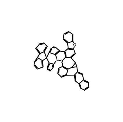 c1ccc2c(c1)-c1ccccc1C21c2ccccc2N2B3c4cccc5c4C4C(c6cc7ccccc7cc6-5)C4c4cc5oc6ccccc6c5c(c43)-c3cccc1c32